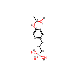 COC(C)Oc1ccc(CCC[Si](O)(O)O)cc1